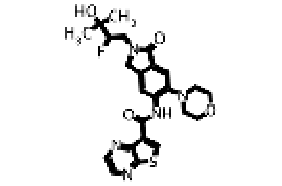 CC(C)(O)C(F)CN1Cc2cc(NC(=O)c3csc4nccnc34)c(N3CCOCC3)cc2C1=O